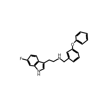 Fc1ccc2c(CCNCc3cccc(Oc4ccccc4)c3)c[nH]c2c1